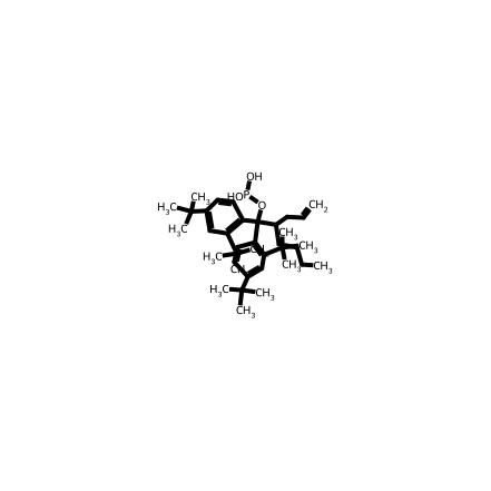 C=CCC(CCCC)C(OP(O)O)(c1ccc(C(C)(C)C)cc1C(C)(C)C)c1ccc(C(C)(C)C)cc1C(C)(C)C